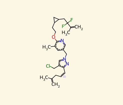 C=C(C)C/C=C\c1nn(Cc2cnc(OCCC3CC3CC(F)(F)C(=C)C)c(C)c2)cc1CCl